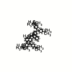 CC(C)c1ccc(N(c2ccc([Si](C)(C)C)cc2)c2ccc3c4c(c5ccccc5c3c2)-c2cc(N(c3ccc(C(C)C)cc3)c3ccc([Si](C)(C)C)cc3)c3ccccc3c2C4(C)C)cc1